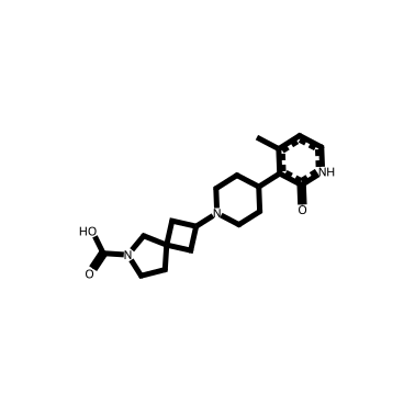 Cc1cc[nH]c(=O)c1C1CCN(C2CC3(CCN(C(=O)O)C3)C2)CC1